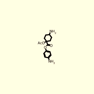 CC(=O)OC1(C(=O)Oc2ccc(N)cc2)CCC(N)CC1